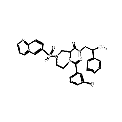 CC(CNC(=O)C1CN(S(=O)(=O)c2ccc3ncccc3c2)CCN1C(=O)c1cccc(Cl)c1)c1ccccc1